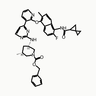 Cc1ccc2c(NC(=O)C3CC34CC4)c(F)ccc2c1Oc1ncccc1-c1ccnc(N[C@H]2C[C@@H](C)CN(C(=O)OCc3ccccc3)C2)n1